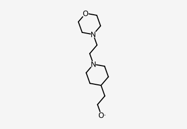 [O]CCC1CCN(CCN2CCOCC2)CC1